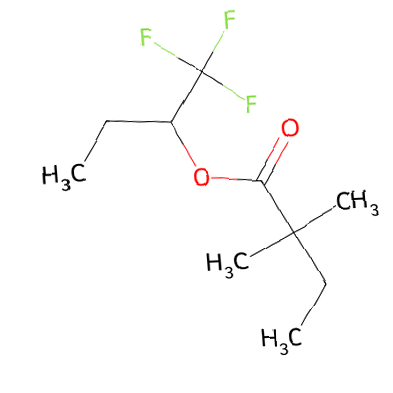 CCC(OC(=O)C(C)(C)CC)C(F)(F)F